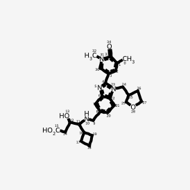 Cc1cc(-c2nc3cc(CNC(C(O)CC(=O)O)C4CCC4)ccc3n2CC2CCOC2)cn(C)c1=O